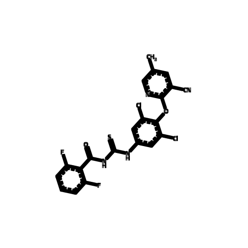 Cc1cnc(Oc2c(Cl)cc(NC(=S)NC(=O)c3c(F)cccc3F)cc2Cl)c(C#N)c1